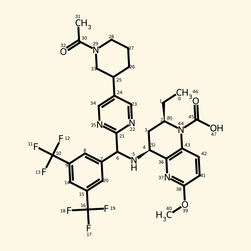 CC[C@@H]1C[C@H](NC(c2cc(C(F)(F)F)cc(C(F)(F)F)c2)c2ncc(C3CCCN(C(C)=O)C3)cn2)c2nc(OC)ccc2N1C(=O)O